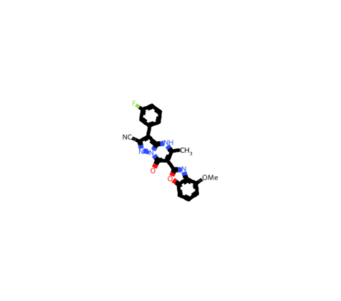 COc1cccc2oc(-c3c(C)[nH]c4c(-c5cccc(F)c5)c(C#N)nn4c3=O)nc12